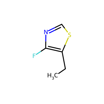 CCc1scnc1F